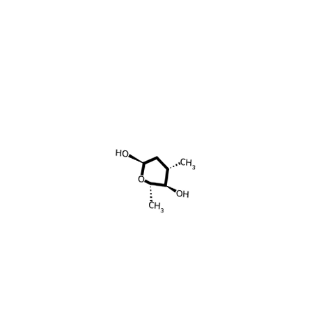 C[C@@H]1O[C@@H](O)C[C@H](C)[C@H]1O